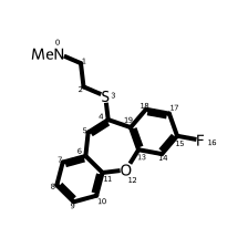 CNCCSC1=Cc2ccccc2Oc2cc(F)ccc21